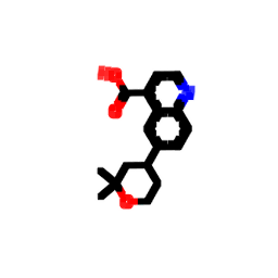 CC1(C)CC(c2ccc3nccc(C(=O)O)c3c2)CCO1